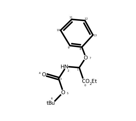 CCOC(=O)C(NC(=O)OC(C)(C)C)Oc1ccccc1